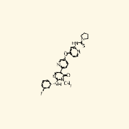 Cn1c(Nc2cccc(F)c2)ncc(-c2ccc(Oc3ccnc(NC(=S)N4CCCC4)c3)cn2)c1=O